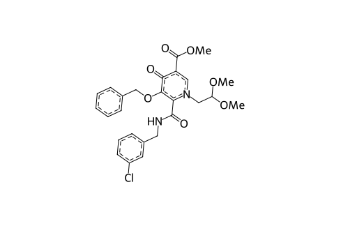 COC(=O)c1cn(CC(OC)OC)c(C(=O)NCc2cccc(Cl)c2)c(OCc2ccccc2)c1=O